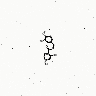 COc1ccc(/C=C\C(=O)c2ccc(O)cc2O)cc1O